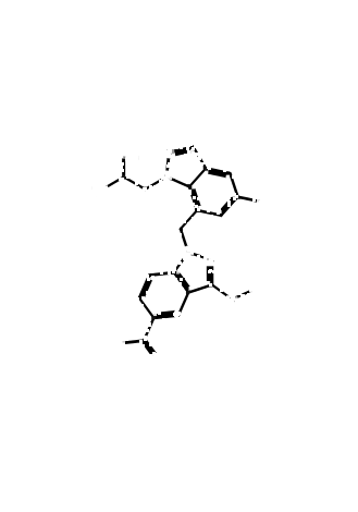 CNc1nn(Cc2cc(Cl)cc3cnn(CC(C)C)c23)c2ccc(C(=O)O)cc12